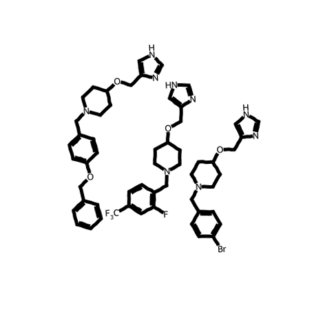 Brc1ccc(CN2CCC(OCc3c[nH]cn3)CC2)cc1.Fc1cc(C(F)(F)F)ccc1CN1CCC(OCc2c[nH]cn2)CC1.c1ccc(COc2ccc(CN3CCC(OCc4c[nH]cn4)CC3)cc2)cc1